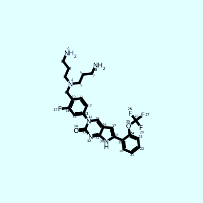 NCCCN(CCCN)Cc1ccc(-n2cc3cc(-c4ccccc4OC(F)(F)F)[nH]c3nc2=O)cc1F